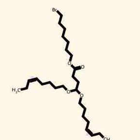 CC/C=C\CCCCOC(CCC(=O)OCCCCCCCBr)OCCCC/C=C\CC